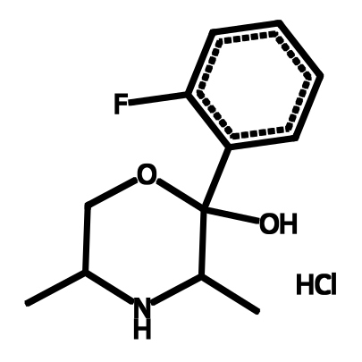 CC1COC(O)(c2ccccc2F)C(C)N1.Cl